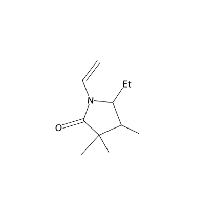 C=CN1C(=O)C(C)(C)C(C)C1CC